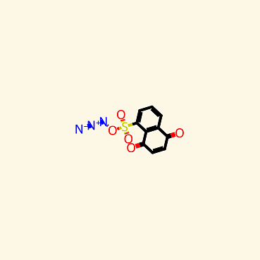 [N-]=[N+]=NOS(=O)(=O)c1cccc2c1C(=O)C=CC2=O